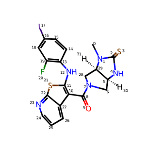 CN1C(=S)N[C@H]2CN(C(=O)c3c(Nc4ccc(I)cc4F)sc4ncccc34)C[C@H]21